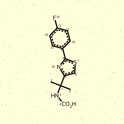 CC(C)(NC(=O)O)c1csc(-c2ccc(F)cc2)n1